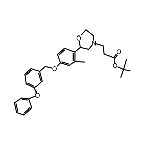 Cc1cc(OCc2cccc(Oc3ccccc3)c2)ccc1C1CN(CCC(=O)OC(C)(C)C)CCO1